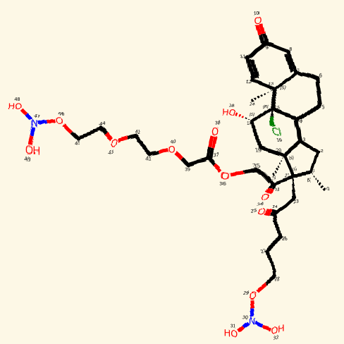 C[C@H]1CC2C3CCC4=CC(=O)C=C[C@]4(C)[C@@]3(Cl)[C@@H](O)C[C@]2(C)[C@@]1(CC(=O)CCCON(O)O)C(=O)COC(=O)COCCOCCON(O)O